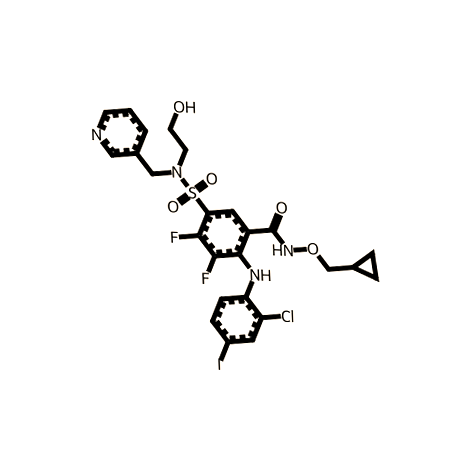 O=C(NOCC1CC1)c1cc(S(=O)(=O)N(CCO)Cc2cccnc2)c(F)c(F)c1Nc1ccc(I)cc1Cl